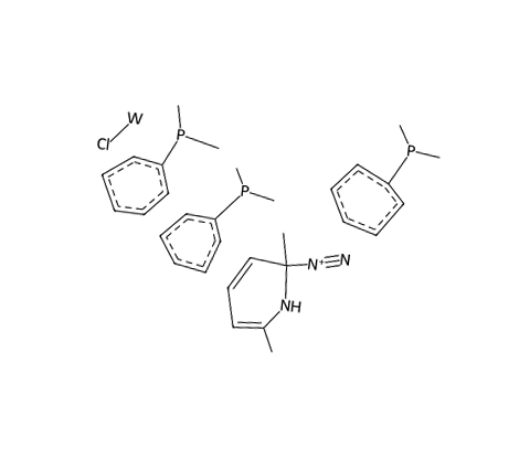 CC1=CC=CC(C)([N+]#N)N1.CP(C)c1ccccc1.CP(C)c1ccccc1.CP(C)c1ccccc1.[Cl][W]